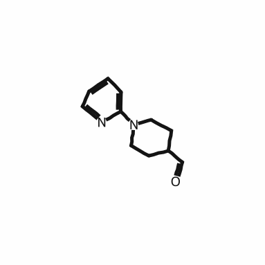 O=CC1CCN(c2ccccn2)CC1